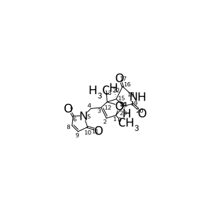 CC12C=C(CN3C(=O)C=CC3=O)C(C)(O1)[C@H]1C(=O)NC(=O)[C@H]12